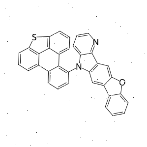 c1ccc2c(c1)oc1cc3c4ncccc4n(-c4cccc5c6cccc7sc8cccc(c45)c8c76)c3cc12